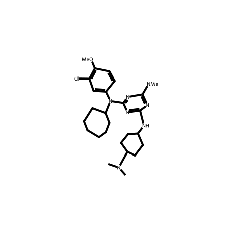 CNc1nc(NC2CCC(N(C)C)CC2)nc(N(c2ccc(OC)c(Cl)c2)C2CCCCCC2)n1